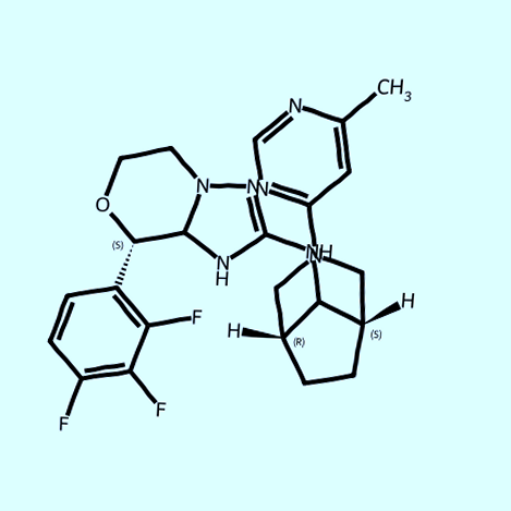 Cc1cc(N2C[C@H]3CC[C@@H](C2)C3NC2=NN3CCO[C@@H](c4ccc(F)c(F)c4F)C3N2)ncn1